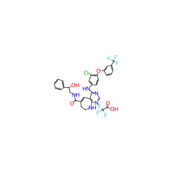 O=C(NCC(O)c1ccccc1)C1=Cc2c(ncnc2Nc2ccc(Oc3cccc(C(F)(F)F)c3)c(Cl)c2)NCC1.O=C(O)C(F)(F)F